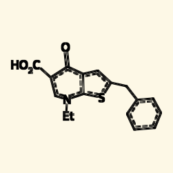 CCn1cc(C(=O)O)c(=O)c2cc(Cc3ccccc3)sc21